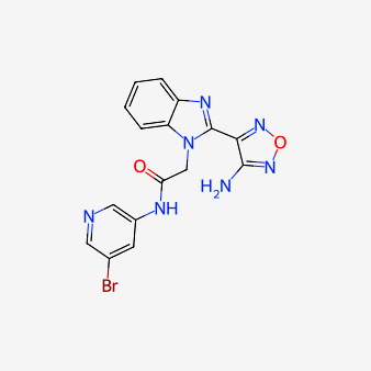 Nc1nonc1-c1nc2ccccc2n1CC(=O)Nc1cncc(Br)c1